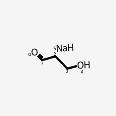 O=CCCO.[NaH]